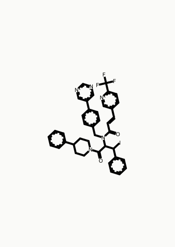 O=C(C(C(I)c1ccccc1)N(Cc1ccc(-c2cncnc2)cc1)C(=O)C=Cc1ccc(C(F)(F)F)nc1)N1CCC(c2ccccc2)CC1